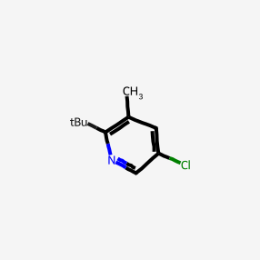 Cc1cc(Cl)cnc1C(C)(C)C